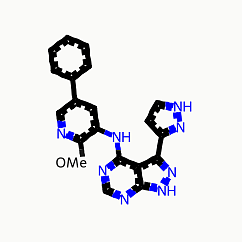 COc1ncc(-c2ccccc2)cc1Nc1ncnc2[nH]nc(-c3cc[nH]n3)c12